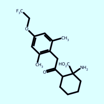 Cc1cc(OCC(F)(F)F)cc(C)c1CC(=O)C1CCCCC1(N)C(=O)O